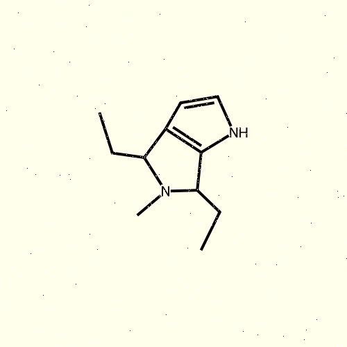 CCC1c2cc[nH]c2C(CC)N1C